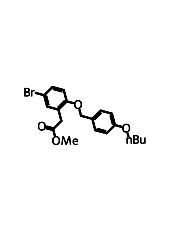 CCCCOc1ccc(COc2ccc(Br)cc2CC(=O)OC)cc1